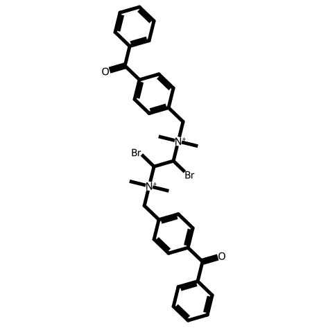 C[N+](C)(Cc1ccc(C(=O)c2ccccc2)cc1)C(Br)C(Br)[N+](C)(C)Cc1ccc(C(=O)c2ccccc2)cc1